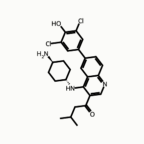 CC(C)CC(=O)c1cnc2ccc(-c3cc(Cl)c(O)c(Cl)c3)cc2c1N[C@H]1CC[C@H](N)CC1